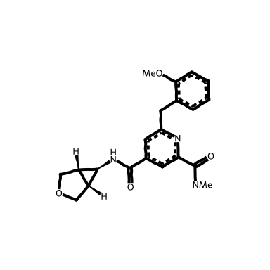 CNC(=O)c1cc(C(=O)N[C@H]2[C@@H]3COC[C@@H]32)cc(Cc2ccccc2OC)n1